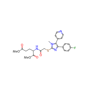 COC(=O)CCC(NC(=O)CSc1nc(-c2ccc(F)cc2)c(-c2ccncc2)n1C)C(=O)OC